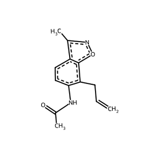 C=CCc1c(NC(C)=O)ccc2c(C)noc12